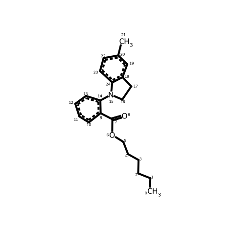 CCCCCCOC(=O)c1ccccc1N1CCc2cc(C)ccc21